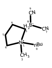 CCCC[N+]1(C)CCCC1.N#C[BH2-]C#N